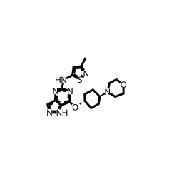 Cc1cc(Nc2nc(O[C@H]3CC[C@H](N4CCOCC4)CC3)c3[nH]ncc3n2)sn1